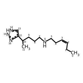 CC/C=C\CCNCCCC(C)c1c[nH]nn1